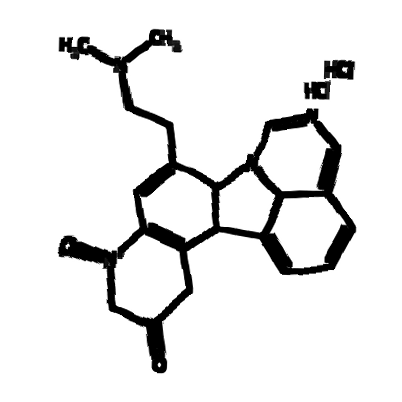 CN(C)CCC1=CC2=C(CC(=O)C[N+]2=O)C2C3=CC=CC4=CN=CN(C43)C12.Cl.Cl